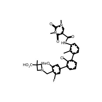 COc1cc(-c2cccc(-c3cccc(NC(=O)c4cn(C)c(=O)n(C)c4=O)c3C)c2Cl)cc(F)c1CN1CC(C)(C(=O)O)C1